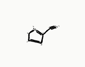 N#CC1=NCC=C1